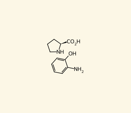 Nc1ccccc1O.O=C(O)[C@@H]1CCCN1